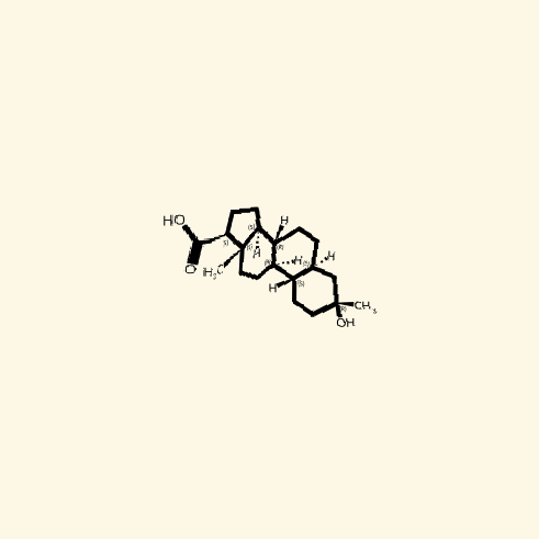 C[C@@]1(O)CC[C@H]2[C@@H](CC[C@@H]3[C@@H]2CC[C@]2(C)[C@@H](C(=O)O)CC[C@@H]32)C1